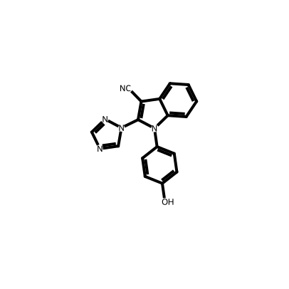 N#Cc1c(-n2cncn2)n(-c2ccc(O)cc2)c2ccccc12